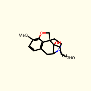 COc1ccc2c3c1OC[C@]31CCN(C)C(C2)C1(O)CCC=O